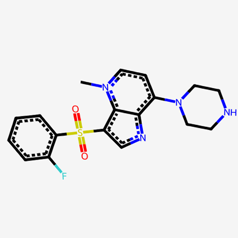 Cn1ccc(N2CCNCC2)c2ncc(S(=O)(=O)c3ccccc3F)c1-2